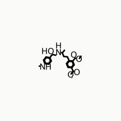 CNc1ccc(C(O)CNC(C)CCc2ccc(C(=O)OC)cc2C(=O)OC)cc1